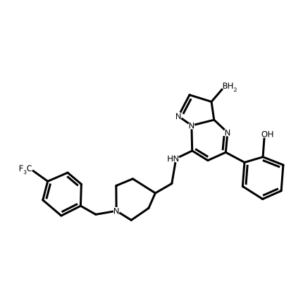 BC1C=NN2C(NCC3CCN(Cc4ccc(C(F)(F)F)cc4)CC3)=CC(c3ccccc3O)=NC12